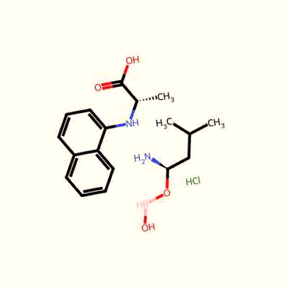 CC(C)C[C@H](N)OBO.C[C@H](Nc1cccc2ccccc12)C(=O)O.Cl